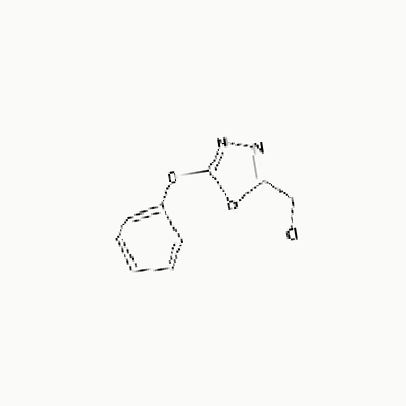 ClCc1nnc(Oc2ccccc2)o1